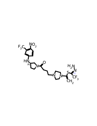 C=C(S/C(=N\N)C(F)(F)F)N1CCN(CCCC(=O)N2CC[C@@H](Nc3ccc([N+](=O)[O-])c(C(F)(F)F)c3)C2)CC1